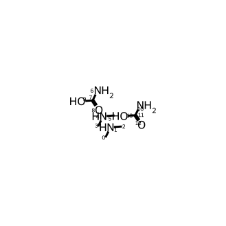 CNC.CNC.NC(=O)O.NC(=O)O